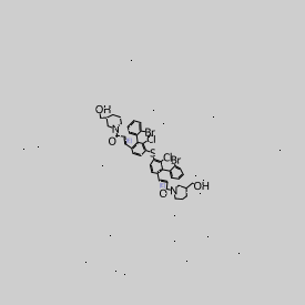 O=C(/C=C/c1ccc(Sc2ccc(/C=C/C(=O)N3CCCC(CO)C3)c(-c3ccccc3Br)c2Cl)c(Cl)c1-c1ccccc1Br)N1CCCC(CO)C1